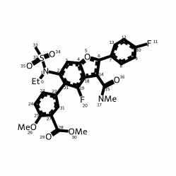 CCN(c1cc2oc(-c3ccc(F)cc3)c(C(=O)NC)c2c(F)c1-c1ccc(OC)c(C(=O)OC)c1)S(C)(=O)=O